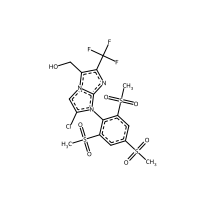 CS(=O)(=O)c1cc(S(C)(=O)=O)c(-n2c(Cl)cn3c(CO)c(C(F)(F)F)nc23)c(S(C)(=O)=O)c1